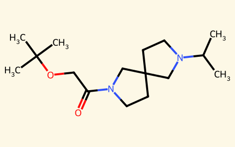 CC(C)N1CCC2(CCN(C(=O)COC(C)(C)C)C2)C1